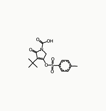 Cc1ccc(S(=O)(=O)OC2=C(C(C)(C)C)C(=O)N(C(=O)O)C2)cc1